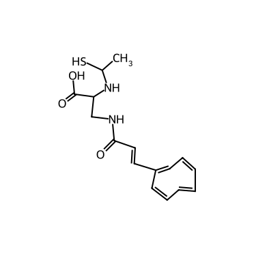 CC(S)NC(CNC(=O)/C=C/C1=C\C=C/C=C/C=C\1)C(=O)O